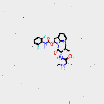 CCN[C@@H](C)C(=O)N[C@H](C(=O)N1c2ncccc2C[C@@H]1OC(=O)Nc1c(F)cccc1F)C(C)C